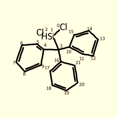 Cl[SiH](Cl)C(c1ccccc1)(c1ccccc1)c1ccccc1